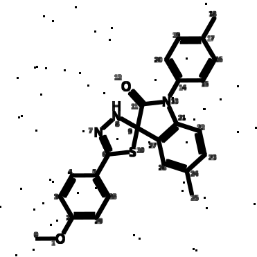 COc1ccc(C2=NNC3(S2)C(=O)N(c2ccc(C)cc2)c2ccc(C)cc23)cc1